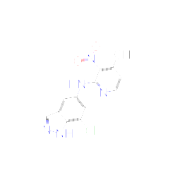 Cc1ccnc(Nc2cc(Cl)c3[nH]ncc3c2)c1[N+](=O)[O-]